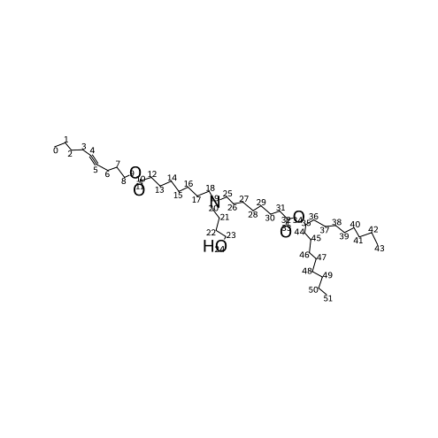 CCCCC#CCCCOC(=O)CCCCCCCN(CCCCO)CCCCCCCC(=O)OC(CCCCCCCC)CCCCCCCC